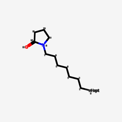 CCCCCCCCCCCCCCN1CCCC1=O